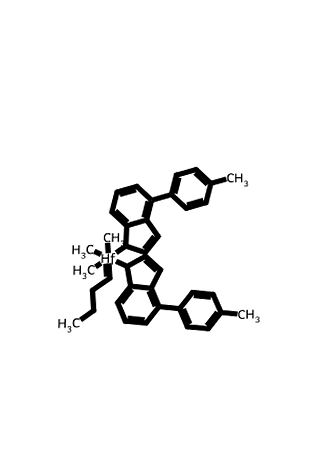 CCC[CH]=[Hf]([CH3])([CH3])([CH3])([CH]1C=Cc2c(-c3ccc(C)cc3)cccc21)[CH]1C=Cc2c(-c3ccc(C)cc3)cccc21